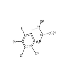 CCc1c(F)ccc(C#N)c1Cl.C[C@H](O)[C@@H](N)C(=O)O